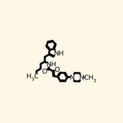 CCCCC(Cc1c[nH]c2ccccc12)NC(=O)c1cc2ccc(N3CCN(C)CC3)cc2o1